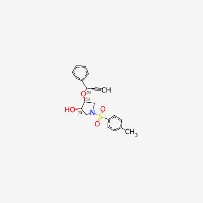 C#C[C@@H](O[C@H]1CN(S(=O)(=O)c2ccc(C)cc2)C[C@H]1O)c1ccccc1